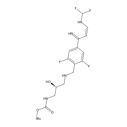 CC(C)(C)OC(=O)NC[C@@H](O)CNCc1c(F)cc(C(=N)/C=C\NC(F)F)cc1F